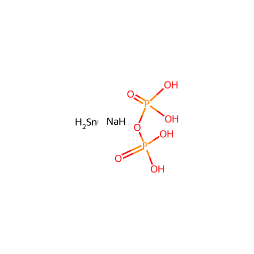 O=P(O)(O)OP(=O)(O)O.[NaH].[SnH2]